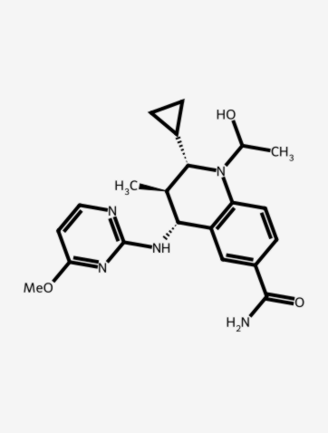 COc1ccnc(N[C@H]2c3cc(C(N)=O)ccc3N(C(C)O)[C@@H](C3CC3)[C@@H]2C)n1